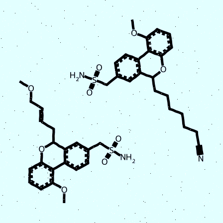 COCC=CCC1Oc2cccc(OC)c2-c2ccc(CS(N)(=O)=O)cc21.COc1cccc2c1-c1ccc(CS(N)(=O)=O)cc1C(CCCCCCC#N)O2